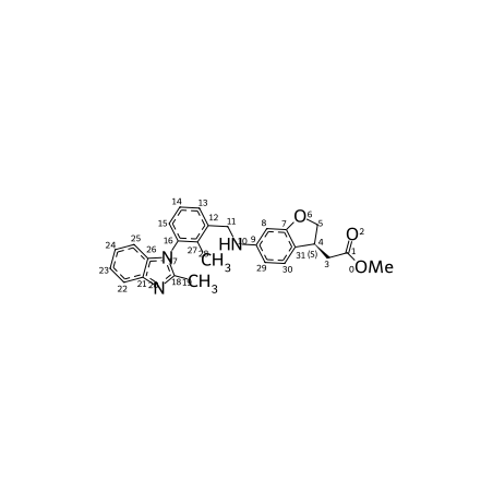 COC(=O)C[C@@H]1COc2cc(NCc3cccc(-n4c(C)nc5ccccc54)c3C)ccc21